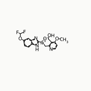 COc1ccnc(C[S@@+]([O-])c2nc3cc(OC(F)F)ccc3[nH]2)c1CO